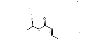 C/C=C/C(=O)OC(C)F